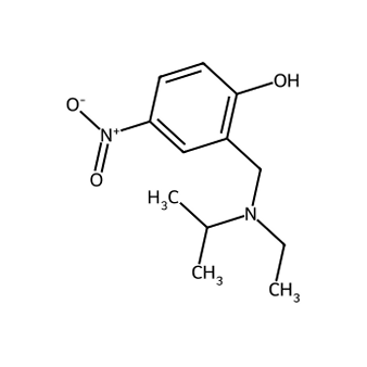 CCN(Cc1cc([N+](=O)[O-])ccc1O)C(C)C